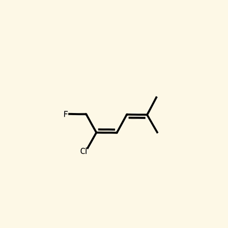 CC(C)=C/C=C(/Cl)CF